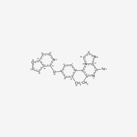 [2H]c1nc(C)c(-c2ccc(Oc3nccc4occc34)cc2C)n2ccnc12